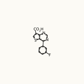 O=C(O)c1csc2c(-c3cccc(F)c3)ncnc12